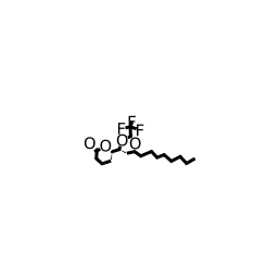 CCCCCCCCCC[C@@H](OC(=O)C(F)(F)F)[C@@H]1CCCC(=O)O1